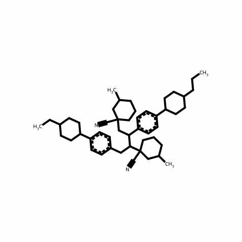 CCCC1CCC(c2ccc(C(CC3(C#N)CCCC(C)C3)C(Cc3ccc(C4CCC(CC)CC4)cc3)C3(C#N)CCCC(C)C3)cc2)CC1